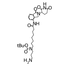 CC(C)(C)OC(=O)N(CCCN)CCCCCCCC(=O)Nc1cccc2c1CN(C1CCC(=O)NC1=O)C2=O